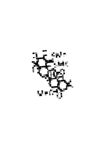 COC(=O)[C@]12CCC(C)(C)C[C@H]1[C@H]1C(=O)C=C3[C@@]4(C)C(=C(SC)SC)C(=O)C(=O)C(C)(C)[C@@H]4CC[C@@]3(C)[C@]1(C)CC2